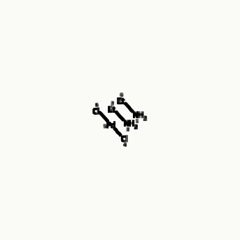 CCN.CCN.[Cl][Pd][Cl]